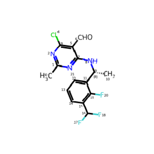 Cc1nc(Cl)c(C=O)c(N[C@H](C)c2cccc(C(F)F)c2F)n1